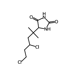 CC(C)(CC(Cl)CCCl)C1NC(=O)NC1=O